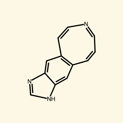 C1=C/c2cc3[nH]cnc3cc2\C=C/N=C\1